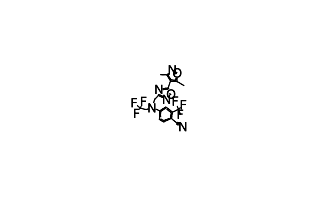 Cc1noc(C)c1-c1nc(CN(CC(F)(F)F)c2ccc(C#N)c(C(F)(F)F)c2)no1